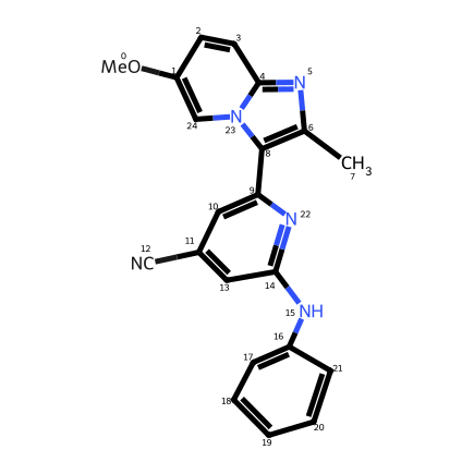 COc1ccc2nc(C)c(-c3cc(C#N)cc(Nc4ccccc4)n3)n2c1